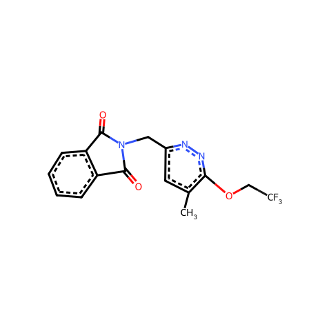 Cc1cc(CN2C(=O)c3ccccc3C2=O)nnc1OCC(F)(F)F